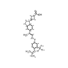 C/C(=N\OCc1ccc(OC(C)C)c(C(F)(F)F)c1)c1ccc2c(c1)CCC2N1CC(C(=O)O)C1